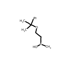 CC(C)C(C)(C)OCCP(C)O